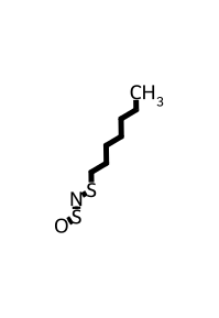 CCCCCCCSN=S=O